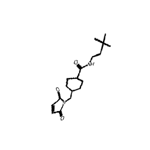 CC(C)(C)CCNC(=O)C1CCC(CN2C(=O)C=CC2=O)CC1